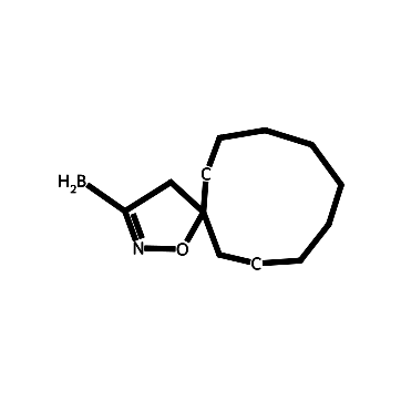 BC1=NOC2(CCCCCCCCC2)C1